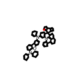 c1ccc(N(c2ccc3c(c2)N2c4ccccc4-c4cccc5ccc(c2c45)C32c3ccccc3-c3ccccc32)c2ccc3oc4c(N(c5ccccc5)c5ccccc5)cccc4c3c2)cc1